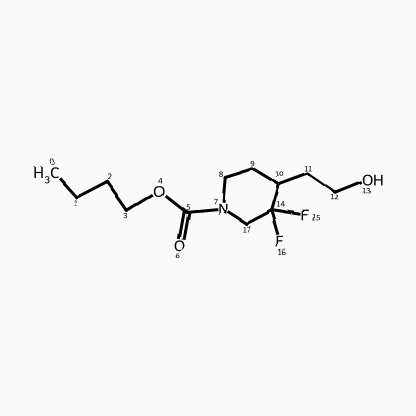 CCCCOC(=O)N1CCC(CCO)C(F)(F)C1